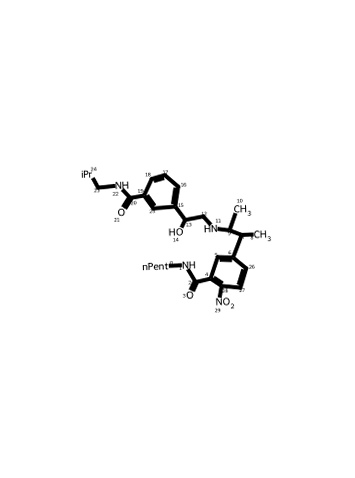 CCCCCNC(=O)c1cc(C(C)C(C)NCC(O)c2cccc(C(=O)NCC(C)C)c2)ccc1[N+](=O)[O-]